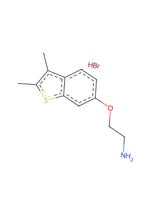 Br.Cc1sc2cc(OCCN)ccc2c1C